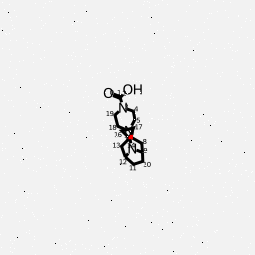 O=C(O)N1CCN(C2CC3CCC(C2)N3C2CC2)CC1